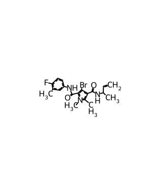 C=CC(C)NC(=O)c1c(Br)c(C(=O)Nc2ccc(F)c(C)c2)n(C)c1C